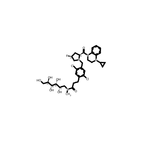 CN(C[C@H](O)[C@@H](O)[C@H](O)[C@H](O)CO)C(=O)CCc1cc(Cl)c(CN2C[C@@H](F)C[C@H]2C(=O)N2CCN(C3CC3)c3ccccc32)cc1Cl